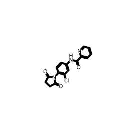 O=C(Nc1ccc(N2C(=O)CCC2=O)c(Cl)c1)c1ccccn1